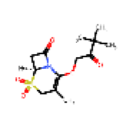 CC1=C(OCC(=O)C(C)(C)C)N2C(=O)C[C@@H]2S(=O)(=O)C1